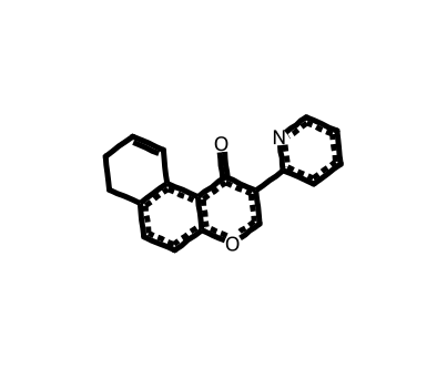 O=c1c(-c2ccccn2)coc2ccc3c(c12)C=CCC3